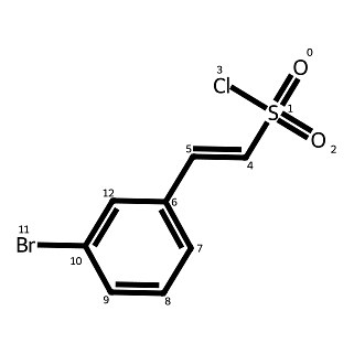 O=S(=O)(Cl)C=Cc1cccc(Br)c1